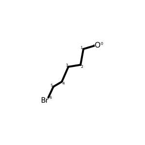 [O]CCCCCBr